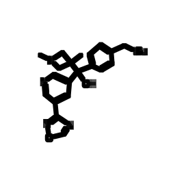 CN1CC(C)(C(O)(c2ccc(CC(C)(C)C)cc2)c2cncc(-c3ncon3)c2)C1